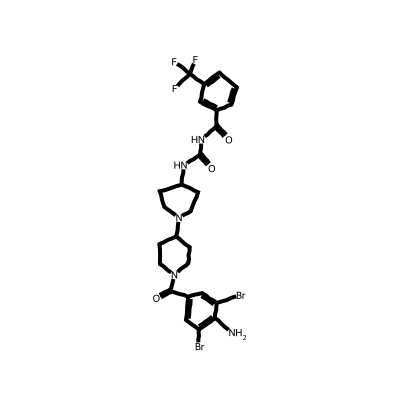 Nc1c(Br)cc(C(=O)N2CCC(N3CCC(NC(=O)NC(=O)c4cccc(C(F)(F)F)c4)CC3)CC2)cc1Br